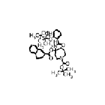 CC(C)(C)OC(=O)N1CCCC(NC(=O)c2ccccc2O[Si](C)(C)C(C)(C)C)(OC(=O)c2ccc3ccccc3c2)CC1